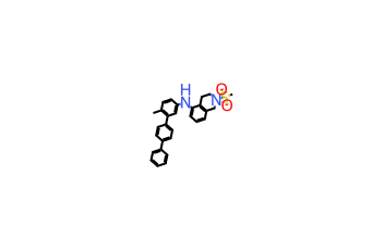 Cc1ccc(Nc2cccc3c2CCN(S(C)(=O)=O)C3)cc1-c1ccc(-c2ccccc2)cc1